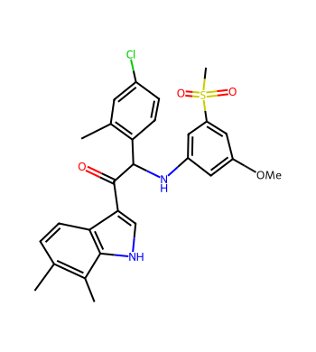 COc1cc(NC(C(=O)c2c[nH]c3c(C)c(C)ccc23)c2ccc(Cl)cc2C)cc(S(C)(=O)=O)c1